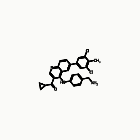 Cc1c(Cl)cc(-c2ccc3ncc(C(=O)C4CC4)c(Nc4ccc(CN)cc4)c3c2)cc1Cl